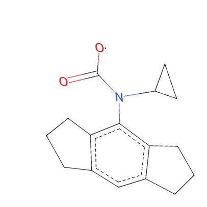 [O]C(=O)N(c1c2c(cc3c1CCC3)CCC2)C1CC1